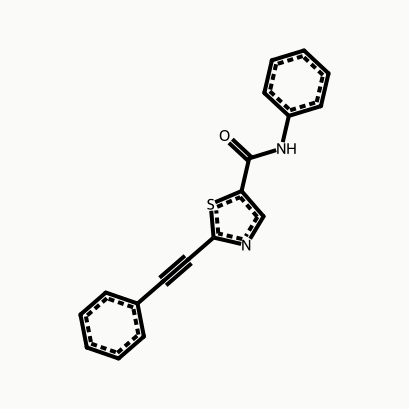 O=C(Nc1ccccc1)c1cnc(C#Cc2ccccc2)s1